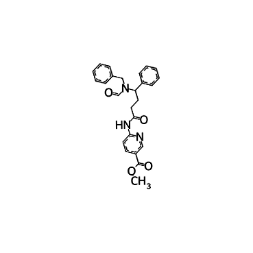 COC(=O)c1ccc(NC(=O)CCC(c2ccccc2)N(C=O)Cc2ccccc2)nc1